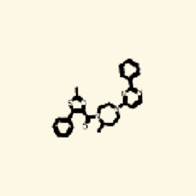 Cc1nc(C(=O)N2CCN(c3ccnc(-c4ccccc4)n3)CCC2C)c(-c2ccccc2)s1